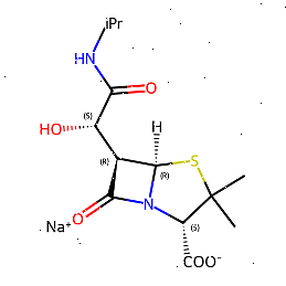 CC(C)NC(=O)[C@@H](O)[C@@H]1C(=O)N2[C@@H]1SC(C)(C)[C@@H]2C(=O)[O-].[Na+]